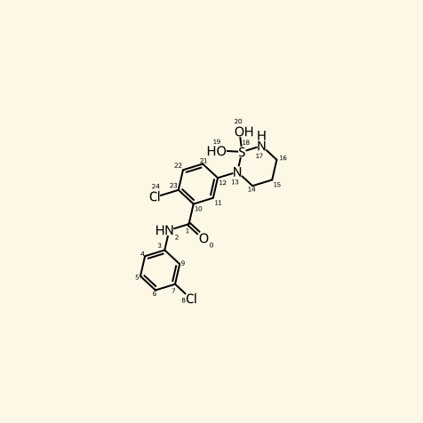 O=C(Nc1cccc(Cl)c1)c1cc(N2CCCNS2(O)O)ccc1Cl